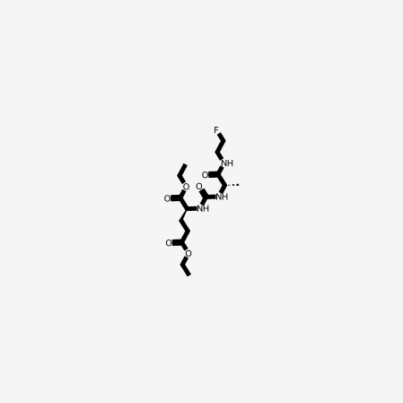 CCOC(=O)CC[C@H](NC(=O)N[C@@H](C)C(=O)NCCF)C(=O)OCC